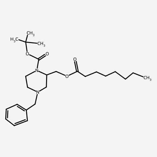 CCCCCCCC(=O)OCC1CN(Cc2ccccc2)CCN1C(=O)OC(C)(C)C